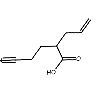 C=CCC(CCC#N)C(=O)O